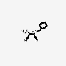 N#C/C(N)=C(\C#N)NCc1ccccc1